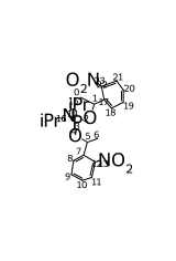 CC(OP(OC(C)c1ccccc1[N+](=O)[O-])N(C(C)C)C(C)C)c1ccccc1[N+](=O)[O-]